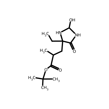 CCC1(CC(C)C(=O)OC(C)(C)C)NC(O)NC1=O